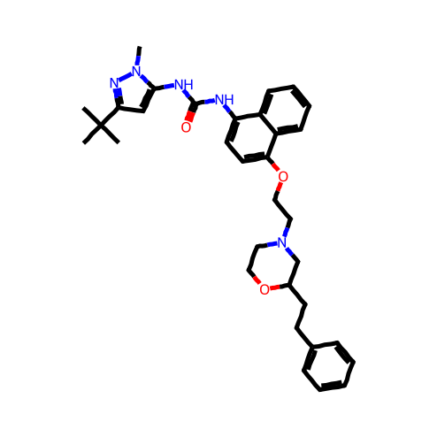 Cn1nc(C(C)(C)C)cc1NC(=O)Nc1ccc(OCCN2CCOC(CCc3ccccc3)C2)c2ccccc12